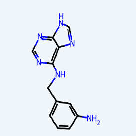 Nc1cccc(CNc2ncnc3[nH]cnc23)c1